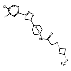 O=C(CO[C@H]1C[C@@H](OC(F)(F)F)C1)NC12CCC(C3CC(c4ccc(Cl)c(F)c4)=NO3)(CC1)OC2